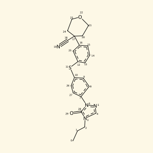 CCCn1cnn(-c2ccc(Sc3cccc(C4(C#N)CCOCC4)c3)cc2)c1=O